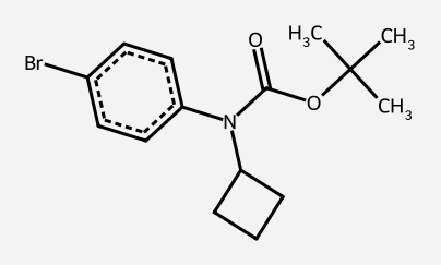 CC(C)(C)OC(=O)N(c1ccc(Br)cc1)C1CCC1